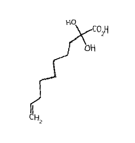 C=CCCCCCCC(O)(O)C(=O)O